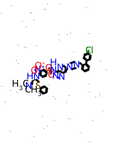 CN(C)CC[C@H](CSc1ccccc1)Nc1ccc(S(=O)(=O)Nc2ncnc3cc(N4CCN(Cc5ccccc5-c5ccc(Cl)cc5)CC4)cnc23)cc1[N+](=O)[O-]